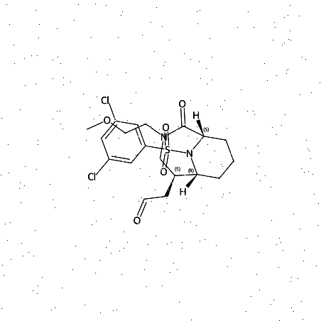 COCCN1C[C@H](CC=O)[C@H]2CCC[C@@H](C1=O)N2S(=O)(=O)c1cc(Cl)cc(Cl)c1